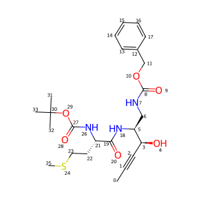 CC#C[C@H](O)[C@H](CNC(=O)OCc1ccccc1)NC(=O)[C@H](CCSC)NC(=O)OC(C)(C)C